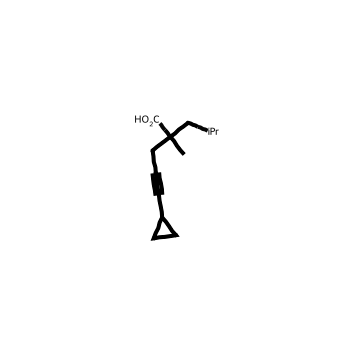 CC(C)CC(C)(CC#CC1CC1)C(=O)O